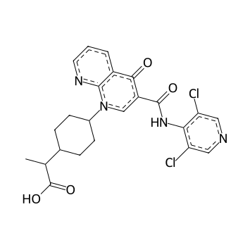 CC(C(=O)O)C1CCC(n2cc(C(=O)Nc3c(Cl)cncc3Cl)c(=O)c3cccnc32)CC1